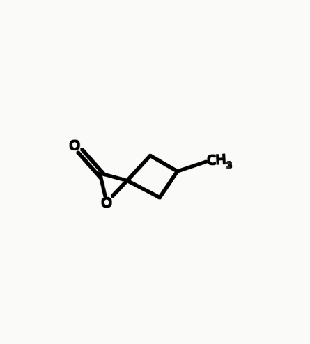 CC1CC2(C1)OC2=O